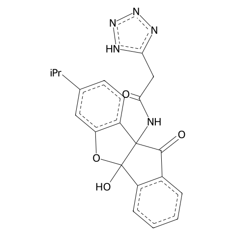 CC(C)c1ccc2c(c1)OC1(O)c3ccccc3C(=O)C21NC(=O)Cc1nnn[nH]1